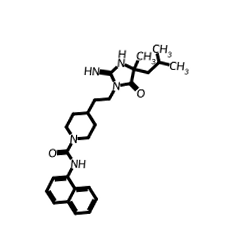 CC(C)CC1(C)NC(=N)N(CCC2CCN(C(=O)Nc3cccc4ccccc34)CC2)C1=O